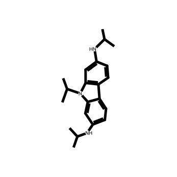 CC(C)Nc1ccc2c3ccc(NC(C)C)cc3n(C(C)C)c2c1